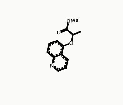 COC(=O)C(C)Oc1cccc2ncccc12